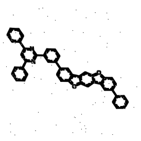 c1ccc(-c2ccc3oc4cc5c(cc4c3c2)oc2ccc(-c3cccc(-c4nc(-c6ccccc6)cc(-c6ccccc6)n4)c3)cc25)cc1